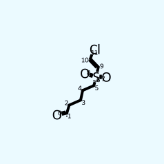 O=[C]CCCCS(=O)(=O)C=CCl